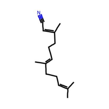 CC(C)=CCCC(C)=CCCC(C)=CC#N